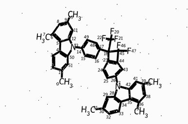 Cc1ccc2c3c(C)cc(C)cc3n(-c3ccc(C4(C(F)(F)F)c5ccc(-n6c7cc(C)ccc7c7c(C)cc(C)cc76)cc5C4(F)F)cc3)c2c1